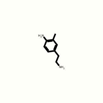 Cc1cc(CCN)ccc1N